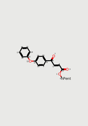 CCCCCOC(=O)C=CC(=O)c1ccc(Oc2ccccc2)cc1